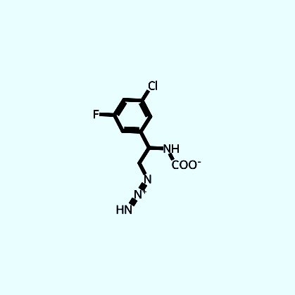 N=[N+]=NCC(NC(=O)[O-])c1cc(F)cc(Cl)c1